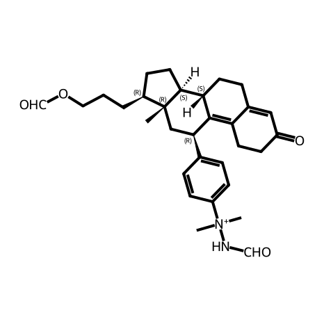 C[C@]12C[C@H](c3ccc([N+](C)(C)NC=O)cc3)C3=C4CCC(=O)C=C4CC[C@H]3[C@@H]1CC[C@@H]2CCCOC=O